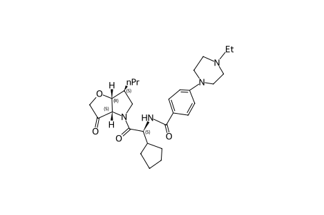 CCC[C@H]1CN(C(=O)[C@@H](NC(=O)c2ccc(N3CCN(CC)CC3)cc2)C2CCCC2)[C@@H]2C(=O)CO[C@H]12